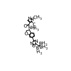 BC(B)(B)c1nc(-c2ccc3c(c2)OC[C@H]3NC(=O)c2cnn(C)c2C)no1